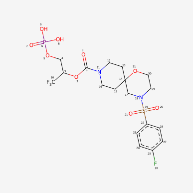 O=C(OC(COP(=O)(O)O)C(F)(F)F)N1CCC2(CC1)CN(S(=O)(=O)c1ccc(F)cc1)CCO2